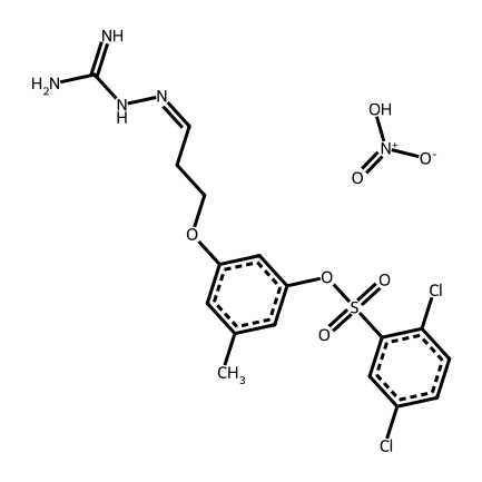 Cc1cc(OCC/C=N\NC(=N)N)cc(OS(=O)(=O)c2cc(Cl)ccc2Cl)c1.O=[N+]([O-])O